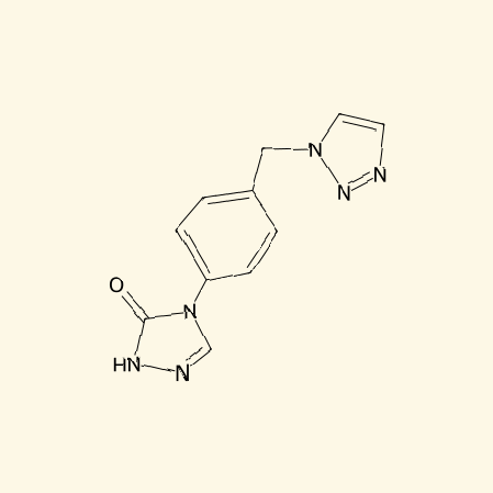 O=c1[nH]ncn1-c1ccc(Cn2ccnn2)cc1